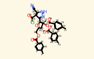 Cc1ccc(C(=O)OCC2OC(c3n[nH]c(C#N)c3C(=O)Cl)[C@](C)(OC(=O)c3ccc(C)cc3)[C@@H]2OC(=O)c2ccc(C)cc2)cc1